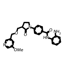 COc1cncc(COCC2CCN(c3ccc(C(=O)Nc4ccccc4N)cc3)C2=O)c1